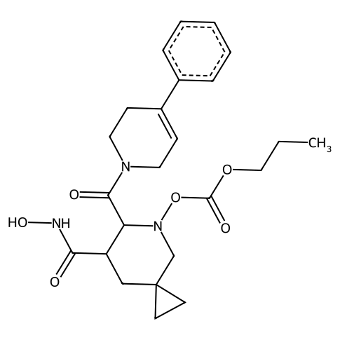 CCCOC(=O)ON1CC2(CC2)CC(C(=O)NO)C1C(=O)N1CC=C(c2ccccc2)CC1